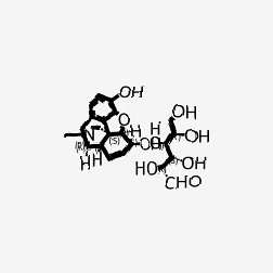 CN1CC[C@]23c4c5ccc(O)c4O[C@H]2[C@@H](O)C=C[C@H]3[C@H]1C5.O=C[C@H](O)[C@@H](O)[C@H](O)[C@H](O)CO